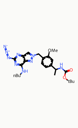 CCCCNc1nc(N=[N+]=[N-])nc2cn(Cc3ccc(C(C)NC(=O)OC(C)(C)C)cc3OC)nc12